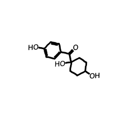 O=C(c1ccc(O)cc1)C1(O)CCC(O)CC1